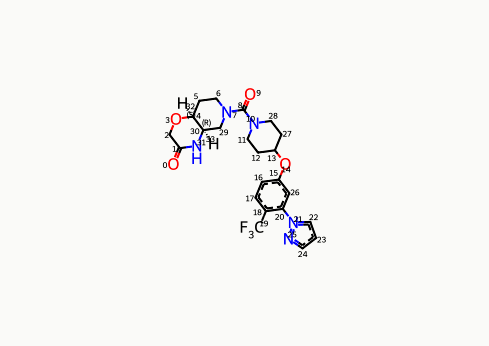 O=C1CO[C@H]2CCN(C(=O)N3CCC(Oc4ccc(C(F)(F)F)c(-n5cccn5)c4)CC3)C[C@H]2N1